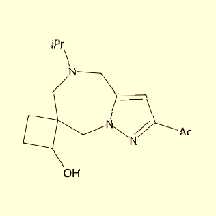 CC(=O)c1cc2n(n1)CC1(CCC1O)CN(C(C)C)C2